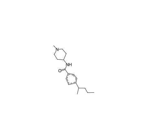 CCCC(C)c1ccc(C(=O)NC2CCN(C)CC2)cc1